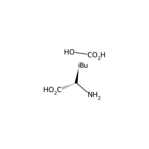 CC[C@H](C)[C@H](N)C(=O)O.O=C(O)O